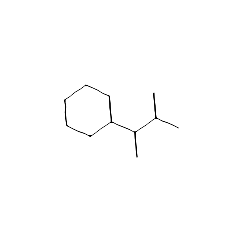 [CH2]C(C(C)C)C1CCCCC1